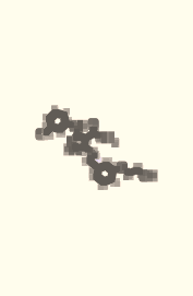 NC(=O)c1c(Nc2cccc(Cl)c2)n[nH]c1/N=C/c1cccc(OCCO)c1